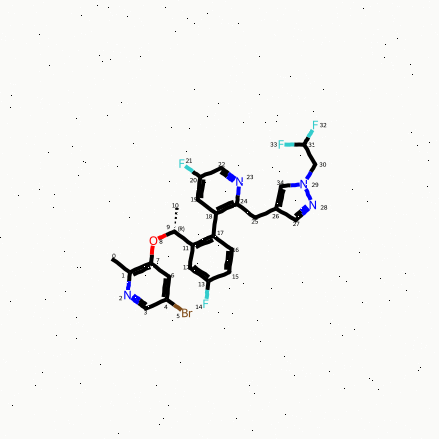 Cc1ncc(Br)cc1O[C@H](C)c1cc(F)ccc1-c1cc(F)cnc1Cc1cnn(CC(F)F)c1